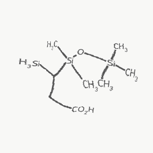 C[Si](C)(C)O[Si](C)(C)C([SiH3])CC(=O)O